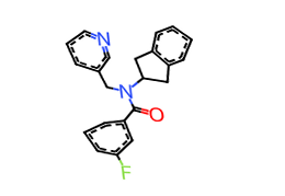 O=C(c1cccc(F)c1)N(Cc1cccnc1)C1Cc2ccccc2C1